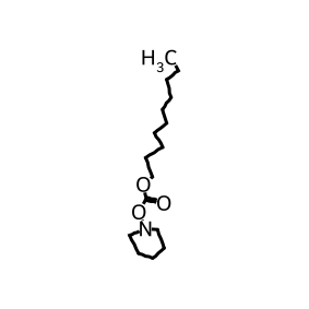 CCCCCCCCCCOC(=O)ON1CCCCC1